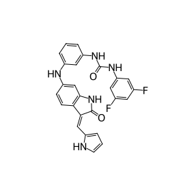 O=C(Nc1cc(F)cc(F)c1)Nc1cccc(Nc2ccc3c(c2)NC(=O)C3=Cc2ccc[nH]2)c1